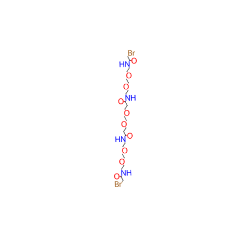 O=C(CBr)NCCOCCOCCNC(=O)CCOCCOCCC(=O)NCCOCCOCCNC(=O)CBr